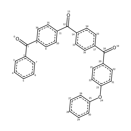 O=C(c1ccccc1)c1ccc(C(=O)c2ccc(C(=O)c3ccc(Oc4ccccc4)cc3)cc2)cc1